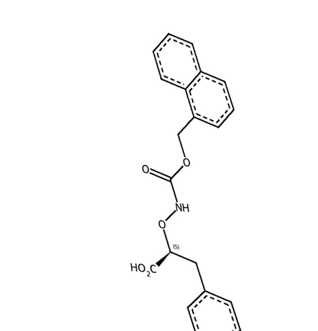 O=C(NO[C@@H](Cc1ccccc1)C(=O)O)OCc1cccc2ccccc12